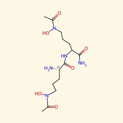 CC(=O)N(O)CCCC(NC(=O)[C@@H](N)CCCN(O)C(C)=O)C(N)=O